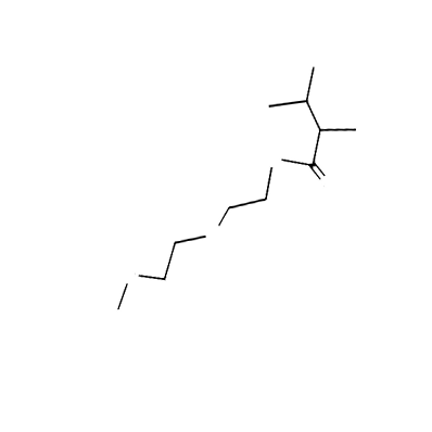 COCCOCCOC(=O)C(C)C(C)C